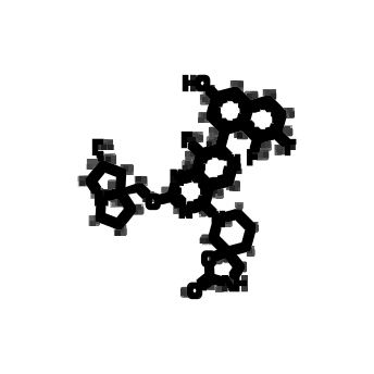 O=C1NCC2(CCCN(c3nc(OC[C@@]45CCCN4C[C@H](F)C5)nc4c(F)c(-c5cc(O)cc6ccc(F)c(F)c56)ncc34)C2)O1